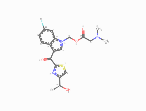 CC[C@H](O)c1csc(C(=O)c2cn(COC(=O)CN(C)C)c3cc(F)ccc23)n1